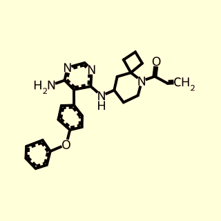 C=CC(=O)N1CCC(Nc2ncnc(N)c2-c2ccc(Oc3ccccc3)cc2)CC12CCC2